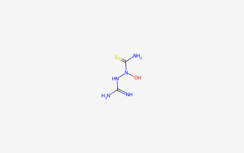 N=C(N)NN(O)C(N)=S